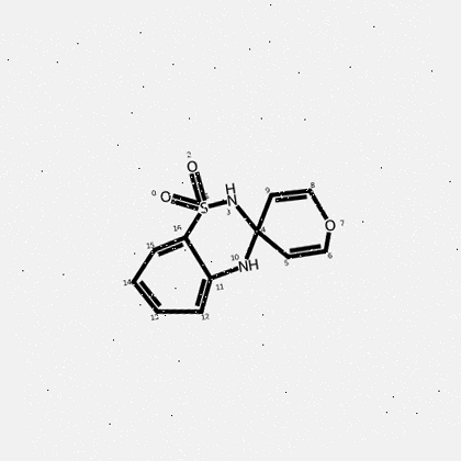 O=S1(=O)NC2(C=COC=C2)Nc2ccccc21